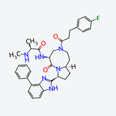 CN[C@@H](C)C(=O)N[C@H]1CN(C(=O)CCc2ccc(F)cc2)CC[C@H]2CC[C@@H](c3nc4c(-c5ccccc5)cccc4[nH]3)N2C1=O